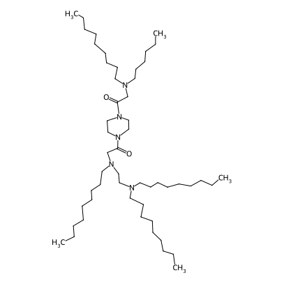 CCCCCCCCCN(CCCCCCCCC)CCN(CCCCCCCCC)CC(=O)N1CCN(C(=O)CN(CCCCCC)CCCCCCCCC)CC1